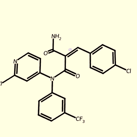 NC(=O)/C(=C/c1ccc(Cl)cc1)C(=O)N(c1cccc(C(F)(F)F)c1)c1ccnc(Cl)c1